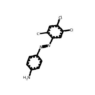 Nc1ccc(/N=N/c2cc(Cl)c(Cl)cc2Cl)cc1